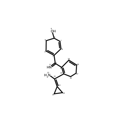 N=C(C1=CCC(O)C=C1)C1=C(C(N)=C2CC2)CCC=C1